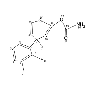 Cc1cccc(C2(C)C=CSC(OC(N)=O)=N2)c1F